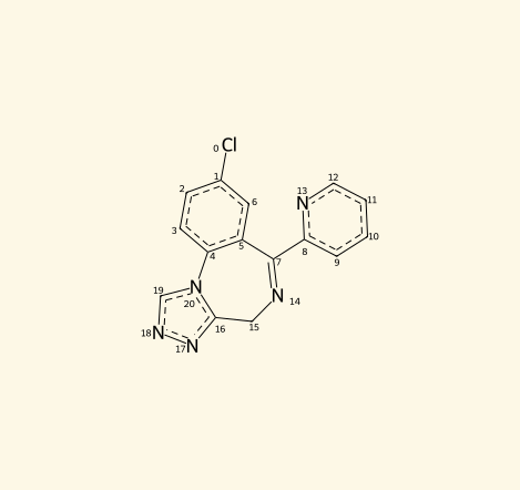 Clc1ccc2c(c1)C(c1ccccn1)=NCc1nncn1-2